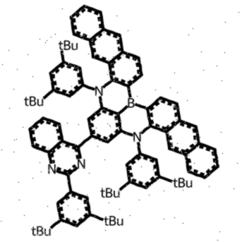 CC(C)(C)c1cc(-c2nc(-c3cc4c5c(c3)N(c3cc(C(C)(C)C)cc(C(C)(C)C)c3)c3c(ccc6cc7ccccc7cc36)B5c3ccc5cc6ccccc6cc5c3N4c3cc(C(C)(C)C)cc(C(C)(C)C)c3)c3ccccc3n2)cc(C(C)(C)C)c1